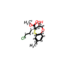 COC(=O)[C@]1(CCCCl)Sc2cc(C)ccc2OC[C@@H]1O